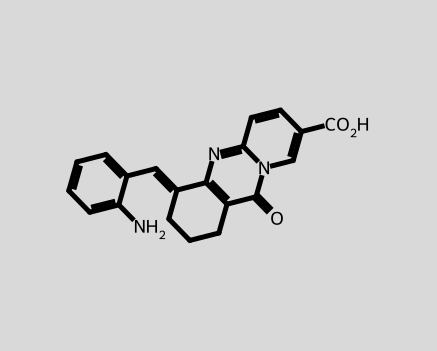 Nc1ccccc1C=C1CCCc2c1nc1ccc(C(=O)O)cn1c2=O